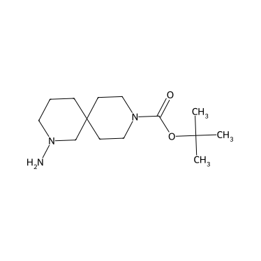 CC(C)(C)OC(=O)N1CCC2(CCCN(N)C2)CC1